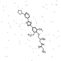 CCc1cc(-c2noc(-c3ccnc(C4CCCC4)c3)n2)cc(C)c1OC[C@@H](O)CNC(=O)CO